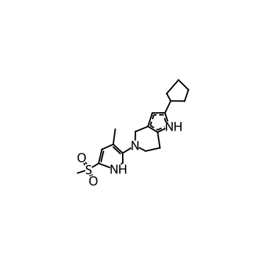 CC1=C(N2CCc3[nH]c(C4CCCC4)cc3C2)CNC(S(C)(=O)=O)=C1